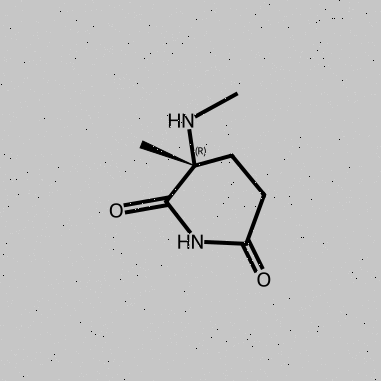 CN[C@]1(C)CCC(=O)NC1=O